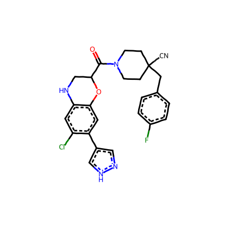 N#CC1(Cc2ccc(F)cc2)CCN(C(=O)C2CNc3cc(Cl)c(-c4cn[nH]c4)cc3O2)CC1